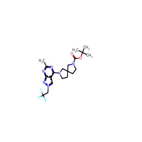 Cc1nc(N2CCC3(CCN(C(=O)OC(C)(C)C)C3)C2)c2cn(CC(F)(F)F)nc2n1